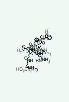 CC(=O)N[C@@H](CCCNC(=N)N)C(=O)N[C@@H](CCC(=O)NCCC[C@H](NC=O)C(=O)O)C(=O)N[C@@H](CCC(N)=O)C(=O)N[C@H](Cc1ccccc1)C(=O)N[C@@H](CCCNC(=N)N)C(=O)N[C@H](C)Cc1c[nH]c2ccccc12